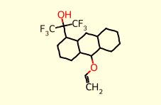 C=COC1C2CCCCC2CC2C1CCCC2C(O)(C(F)(F)F)C(F)(F)F